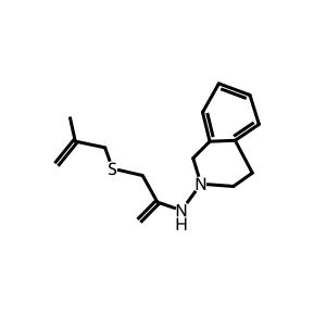 C=C(C)CSCC(=C)NN1CCc2ccccc2C1